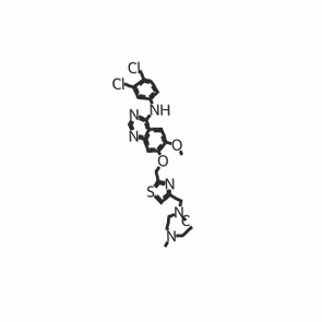 COc1cc2c(Nc3ccc(Cl)c(Cl)c3)ncnc2cc1OCc1nc(CN2CCCN(C)CC2)cs1